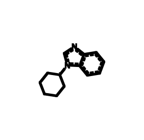 c1ccc2c(c1)ncn2[C]1CCCCC1